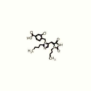 CCCCc1ncc(C=C2C(=O)NC(=O)N2CCCC)n1Cc1ccc(C(=O)O)cc1Cl